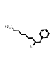 CCN(CCCCCCC(=O)O)Cc1ccccc1